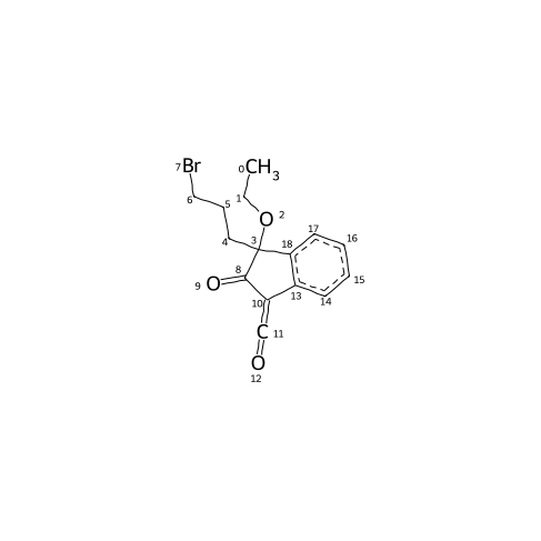 CCOC1(CCCBr)C(=O)C(=C=O)c2ccccc21